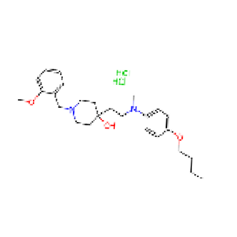 CCCCOc1ccc(N(C)CCC2(O)CCN(Cc3ccccc3OC)CC2)cc1.Cl.Cl